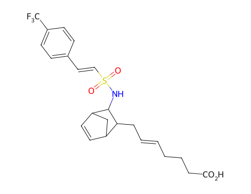 O=C(O)CCCC=CCC1C2C=CC(C2)C1NS(=O)(=O)C=Cc1ccc(C(F)(F)F)cc1